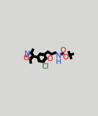 Cc1noc(C)c1-c1cc(Cl)c2c(c1)CC(CNC(=O)OC(C)(C)C)O2